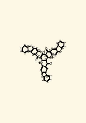 O=c1c2cc3c(cc2[nH]c2c1c1[nH]c4cc5sc6ccccc6c5cc4c(=O)c1c1[nH]c4cc5sc6ccccc6c5cc4c(=O)c21)sc1ccccc13